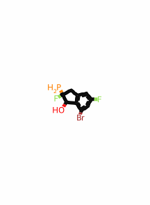 OC1c2c(Br)cc(F)cc2CC1(F)P